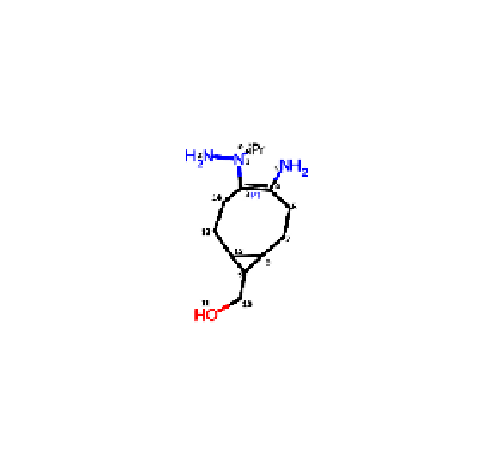 CC(C)N(N)/C1=C(\N)CCC2C(CO)C2CC1